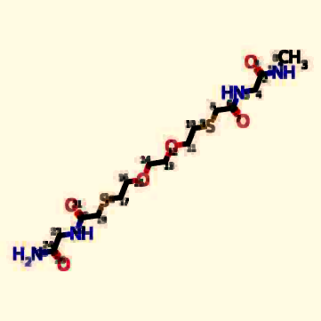 CNC(=O)CNC(=O)CSCCOCCOCCSCC(=O)NCC(N)=O